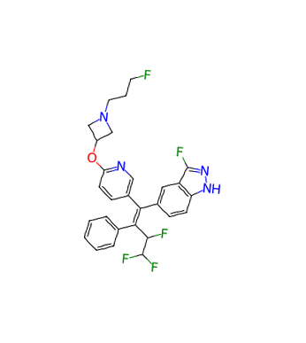 FCCCN1CC(Oc2ccc(C(=C(c3ccccc3)C(F)C(F)F)c3ccc4[nH]nc(F)c4c3)cn2)C1